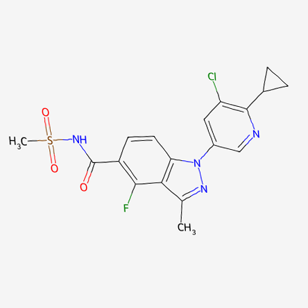 Cc1nn(-c2cnc(C3CC3)c(Cl)c2)c2ccc(C(=O)NS(C)(=O)=O)c(F)c12